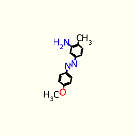 COc1ccc(N=Nc2ccc(C)c(N)c2)cc1